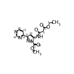 CCOC(=O)CC(=O)Nc1cc(-c2ccncn2)nn1C(=O)OC